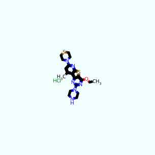 CCOc1nc(N2CCNCC2)nc2c1sc1nc(N3CCSCC3)cc(C)c12.Cl